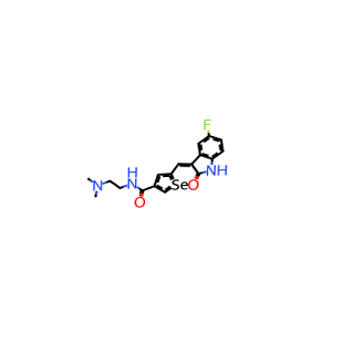 CN(C)CCNC(=O)c1c[se]c(C=C2C(=O)Nc3ccc(F)cc32)c1